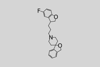 Fc1ccc2c(c1)C(CCCN1CCC3(CC1)OCc1ccccc13)CO2